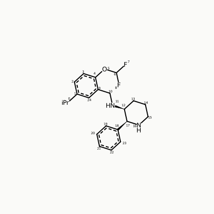 CC(C)c1ccc(OC(F)F)c(CN[C@H]2CCCN[C@H]2c2ccccc2)c1